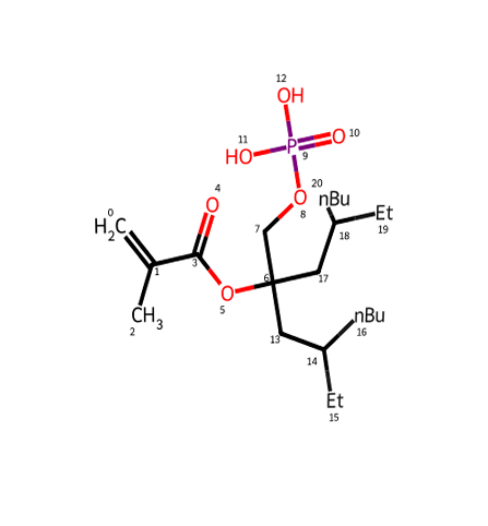 C=C(C)C(=O)OC(COP(=O)(O)O)(CC(CC)CCCC)CC(CC)CCCC